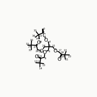 C=C(COCC(COCC(=O)C(C)(C)C)(COCC(=O)C(C)(C)C)COCC(=O)C(C)(C)C)C(C)(C)C